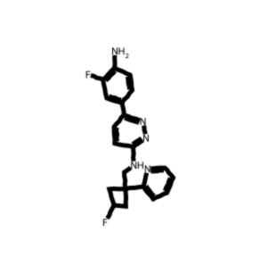 Nc1ccc(-c2ccc(NCC3(c4ccccn4)CC(F)C3)nn2)cc1F